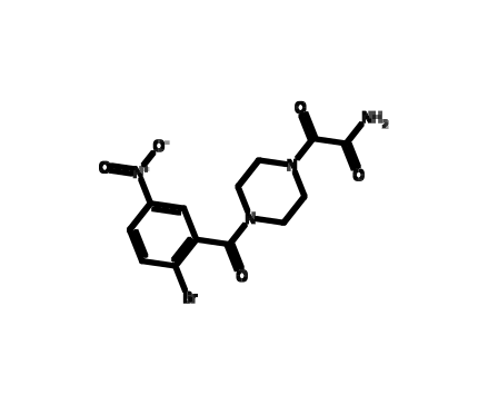 NC(=O)C(=O)N1CCN(C(=O)c2cc([N+](=O)[O-])ccc2Br)CC1